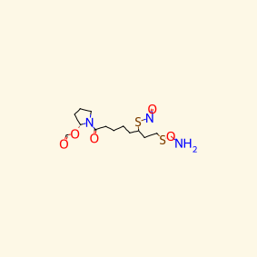 NOSCCC(CCCCC(=O)N1CCC[C@H]1OC=O)SN=O